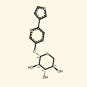 O[C@@H]1[C@@H](O)[C@H](Oc2ccc(-c3ccsc3)nc2)SC[C@H]1O